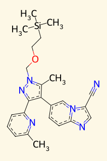 Cc1cccc(-c2nn(COCC[Si](C)(C)C)c(C)c2-c2ccc3ncc(C#N)n3c2)n1